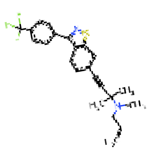 C=CCN(C)C(C)(C)C#Cc1ccc2c(-c3ccc(C(F)(F)F)cc3)nsc2c1